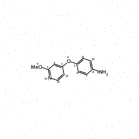 COc1cc(Oc2ccc(N)cc2)ccn1